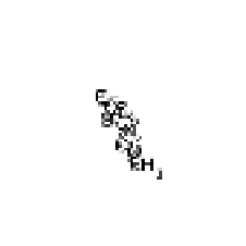 CCOC(=O)CN1CCC(F)(C(=O)OCC)CC1